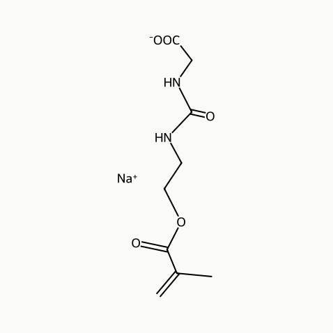 C=C(C)C(=O)OCCNC(=O)NCC(=O)[O-].[Na+]